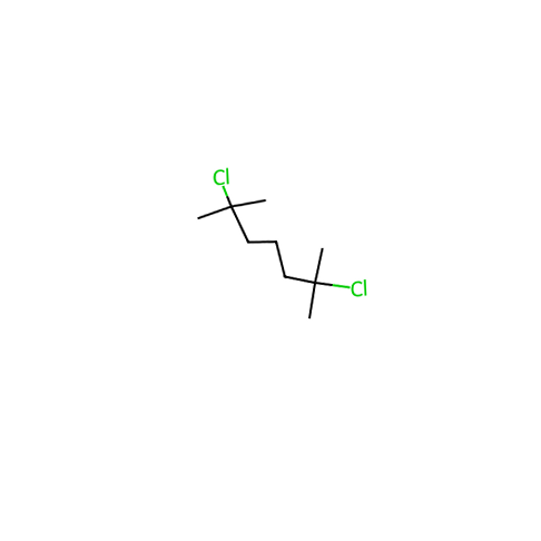 CC(C)(Cl)CCCC(C)(C)Cl